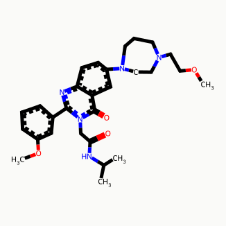 COCCN1CCCN(c2ccc3nc(-c4cccc(OC)c4)n(CC(=O)NC(C)C)c(=O)c3c2)CC1